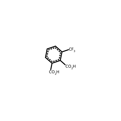 O=C(O)c1cccc(C(F)(F)F)c1C(=O)O